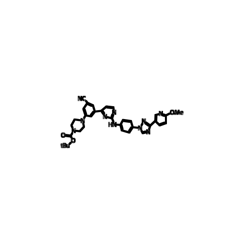 COc1ccc(-c2ncn(-c3ccc(Nc4nccc(-c5cc(C#N)cc(N6CCN(C(=O)OC(C)(C)C)CC6)c5)n4)cc3)n2)cn1